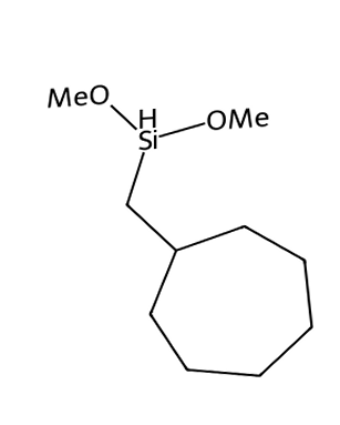 CO[SiH](CC1CCCCCC1)OC